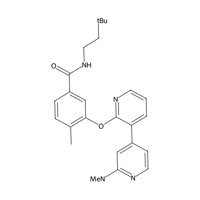 CNc1cc(-c2cccnc2Oc2cc(C(=O)NCCC(C)(C)C)ccc2C)ccn1